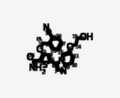 C[C@@H](Oc1cc(-c2cnc3ccc(OCCO)cn23)sc1C(N)=O)c1ccccc1C#N